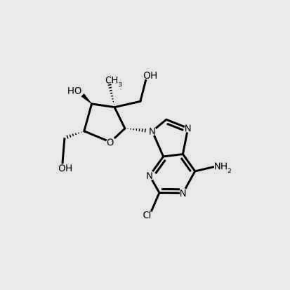 C[C@@]1(CO)[C@H](O)[C@@H](CO)O[C@H]1n1cnc2c(N)nc(Cl)nc21